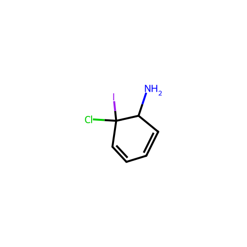 NC1C=CC=CC1(Cl)I